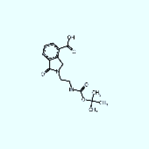 CC(C)(C)OC(=O)NCCN1Cc2c(C(=O)O)cccc2C1=O